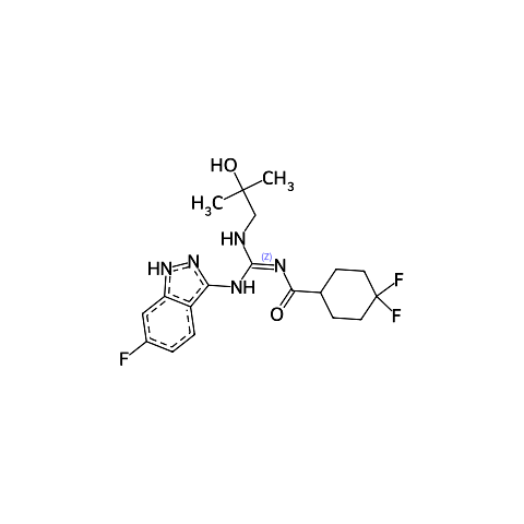 CC(C)(O)CN/C(=N/C(=O)C1CCC(F)(F)CC1)Nc1n[nH]c2cc(F)ccc12